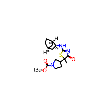 CC(C)(C)OC(=O)N1CCC(C2(C)SC(N[C@H]3C[C@H]4CC[C@H]3C4)=NC2=O)C1